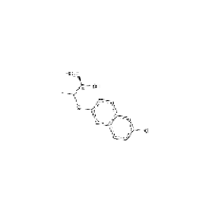 CC(Sc1ccc2cc(Cl)ccc2c1)[C@H](O)C(=O)O